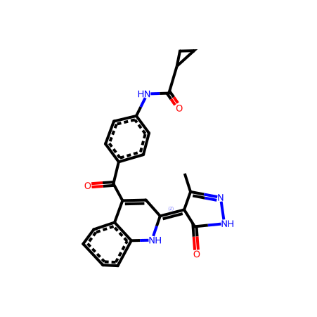 CC1=NNC(=O)/C1=C1/C=C(C(=O)c2ccc(NC(=O)C3CC3)cc2)c2ccccc2N1